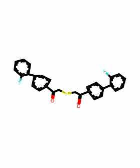 O=C(CSCC(=O)c1ccc(-c2ccccc2F)cc1)c1ccc(-c2ccccc2F)cc1